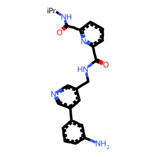 CC(C)NC(=O)c1cccc(C(=O)NCc2cncc(-c3cccc(N)c3)c2)n1